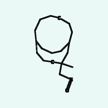 CC1(CN=O)CCCC2CCCCCCC(CCC2)C1